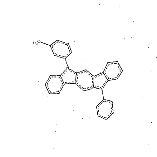 Cc1cccc(-n2c3ccccc3c3cc4c(cc32)c2ccccc2n4-c2ccccc2)c1